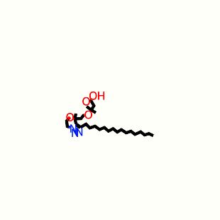 CCCCCCCCCCCCCCCCc1nnn2c1C(C)(CCOC(C)(C)CC(=O)O)OCC2